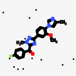 COc1cc(-c2nc(C(=O)c3ccc(F)cc3)n(C)n2)ccc1-n1cnc(C)c1